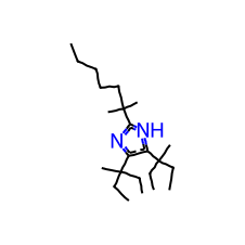 CCCCCC(C)(C)c1nc(C(C)(CC)CC)c(C(C)(CC)CC)[nH]1